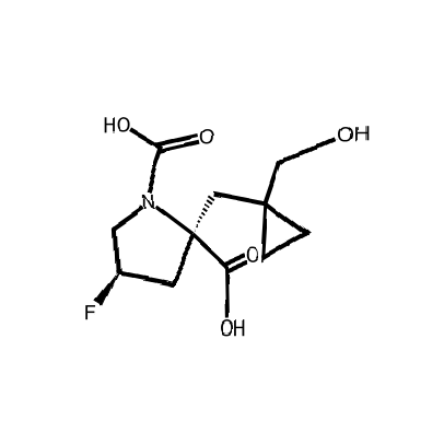 O=C(O)N1C[C@H](F)C[C@]1(CC1(CO)CC1)C(=O)O